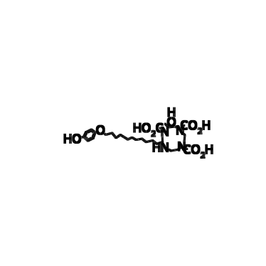 CC1(O)CN(C(=O)O)CCN(C(=O)O)CCNC(CCCCCCCCCCCOc2ccc(O)cc2)CN1C(=O)O